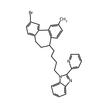 Cc1ccc2c(c1)-c1cc(Br)ccc1CCC2CCCCn1c(-c2ccccn2)nc2ccccc21